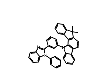 CC1(C)c2ccccc2-c2c1ccc1c3ccccc3n(-c3cccc(-c4nc5ccccc5n4-c4ccccc4)c3)c21